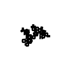 C=C[C@@H]1C[C@]1(NC(=O)[C@@H]1C[C@@H](Oc2cc(-c3nc(C(C)C)cs3)nc3c(Cl)c(OC)ccc23)CN1C(=O)OC(C)(C)C)C(=O)OCC